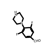 O=Cc1cc(F)c(N2CCNCC2)c(F)c1